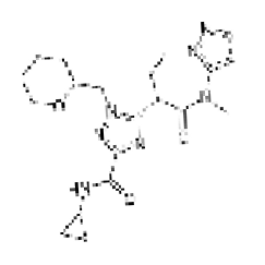 CN1C(=O)[C@H](c2nc(C(=O)NC3CC3)nn2CC2CCCCO2)CCn2nccc21